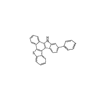 c1ccc(-c2ccc3c(c2)[nH]c2c4ccccc4c4sc5ccccc5c4c32)cc1